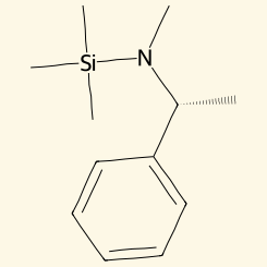 C[C@H](c1ccccc1)N(C)[Si](C)(C)C